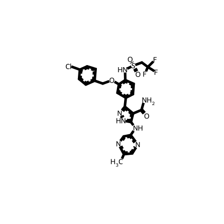 Cc1cnc(Nc2[nH]nc(-c3ccc(NS(=O)(=O)CC(F)(F)F)c(OCc4ccc(Cl)cc4)c3)c2C(N)=O)cn1